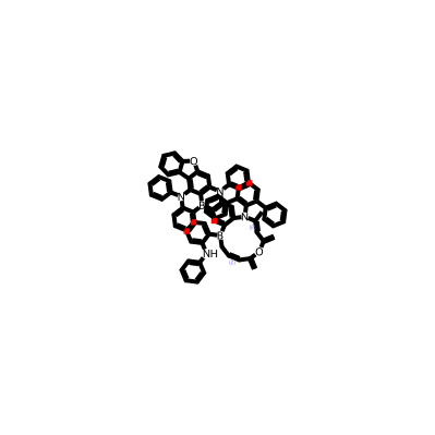 C=C1/C=C\CB(c2ccccc2Nc2ccccc2)c2cc3c(cc2N(c2c(-c4ccccc4)cccc2-c2ccccc2)/C(C)=C/C(=C)O1)N(c1ccccc1)c1cc2oc4ccccc4c2c2c1B3c1ccccc1N2c1ccccc1